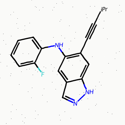 CC(C)C#Cc1cc2[nH]ncc2cc1Nc1ccccc1F